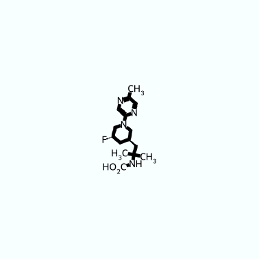 Cc1cnc(N2C[C@@H](F)C[C@H](CC(C)(C)NC(=O)O)C2)cn1